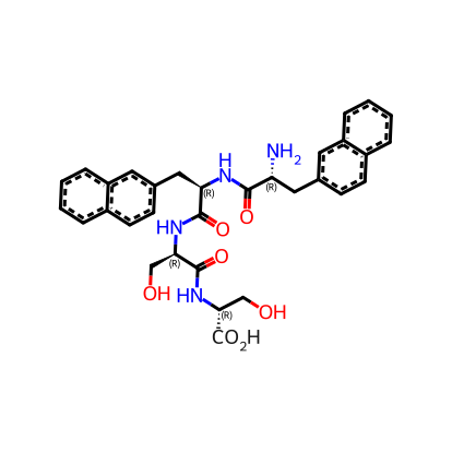 N[C@H](Cc1ccc2ccccc2c1)C(=O)N[C@H](Cc1ccc2ccccc2c1)C(=O)N[C@H](CO)C(=O)N[C@H](CO)C(=O)O